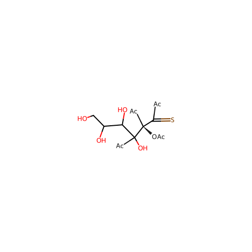 CC(=O)O[C@@](C(C)=O)(C(=S)C(C)=O)C(O)(C(C)=O)C(O)C(O)CO